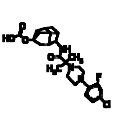 CC(C)(C(=O)NC1C2CC3CC1CC(OC(=O)O)(C3)C2)N1CCN(c2ccc(Cl)cc2F)CC1